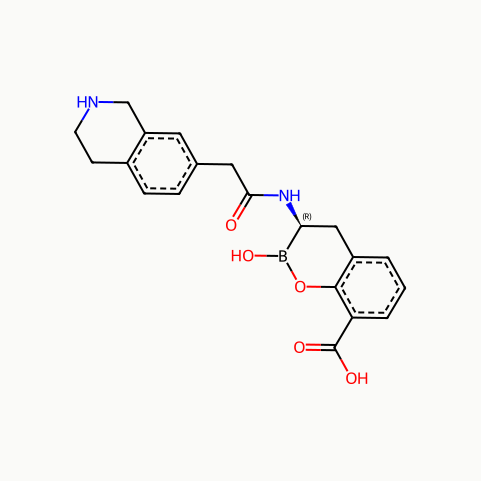 O=C(Cc1ccc2c(c1)CNCC2)N[C@H]1Cc2cccc(C(=O)O)c2OB1O